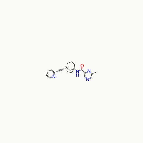 Cc1cncc(C(=O)N[C@]23CCC[C@](C#Cc4ccccn4)(CC2)C3)n1